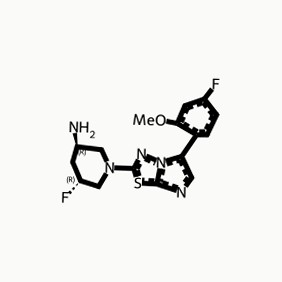 COc1cc(F)ccc1-c1cnc2sc(N3C[C@H](N)C[C@@H](F)C3)nn12